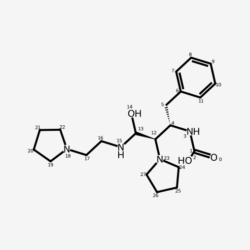 O=C(O)N[C@@H](Cc1ccccc1)[C@H](C(O)NCCN1CCCC1)N1CCCC1